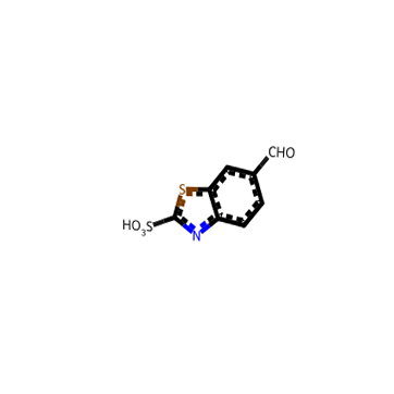 O=Cc1ccc2nc(S(=O)(=O)O)sc2c1